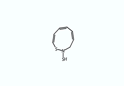 SN1C\C=C/C=C\C=C/S1